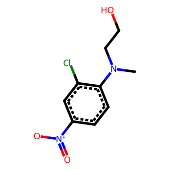 CN(CCO)c1ccc([N+](=O)[O-])cc1Cl